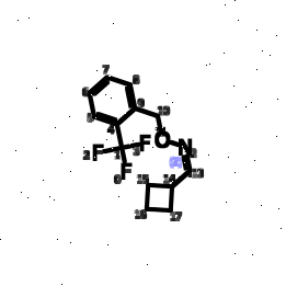 FC(F)(F)c1ccccc1CO/N=[C]\C1CCC1